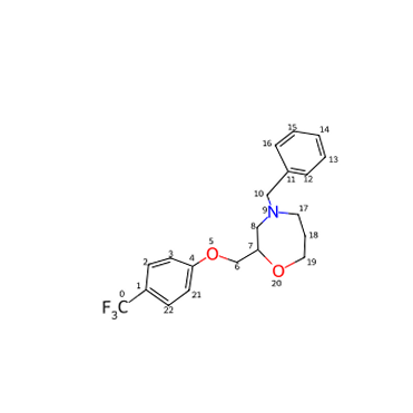 FC(F)(F)c1ccc(OCC2CN(Cc3ccccc3)CCCO2)cc1